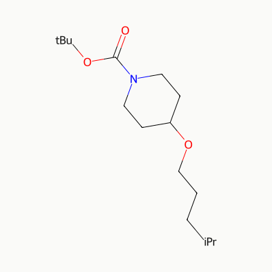 CC(C)CCCOC1CCN(C(=O)OC(C)(C)C)CC1